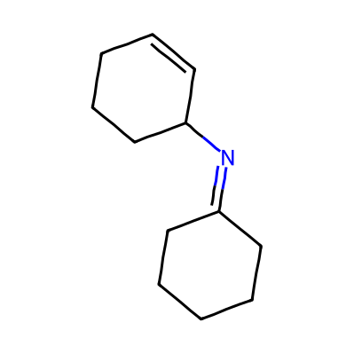 C1=CC(N=C2CCCCC2)CCC1